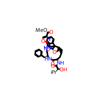 COC(=O)c1coc(-c2nc3oc2C24c5ccccc5NC2Oc2ccc(cc24)C[C@H](NC(=O)[C@@H](O)C(C)C)C(=O)N[C@H]3Cc2ccccc2)n1